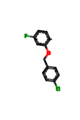 Fc1cc[c]c(OCc2ccc(Cl)cc2)c1